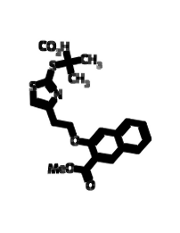 COC(=O)c1cc2ccccc2cc1OCCc1csc(SC(C)(C)C(=O)O)n1